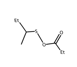 CCC(=O)OSC(C)CC